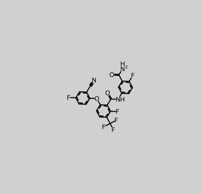 N#Cc1cc(F)ccc1Oc1ccc(C(F)(F)F)c(F)c1C(=O)Nc1ccc(F)c(C(N)=O)c1